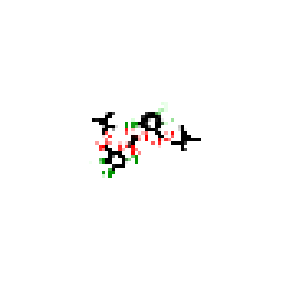 CC1C(C)C1(C)COC(=O)c1c(Cl)c(Cl)cc(Cl)c1OC(=O)C(=O)Oc1c(Cl)cc(Cl)c(Cl)c1C(=O)OCC1(C)C(C)C1C